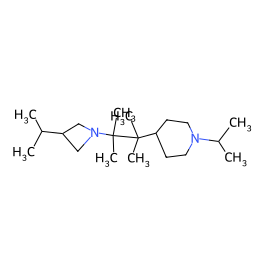 CC(C)C1CN(C(C)(C)C(C)(C)C2CCN(C(C)C)CC2)C1